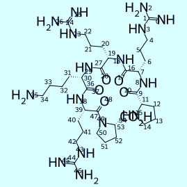 N=C(N)NCCC[C@H](NC(=O)[C@@H]1CCCN1)C(=O)N[C@@H](CCCNC(=N)N)C(=O)N[C@@H](CCCCN)C(=O)N[C@@H](CCCNC(=N)N)C(=O)N1CCC[C@H]1C(=O)O